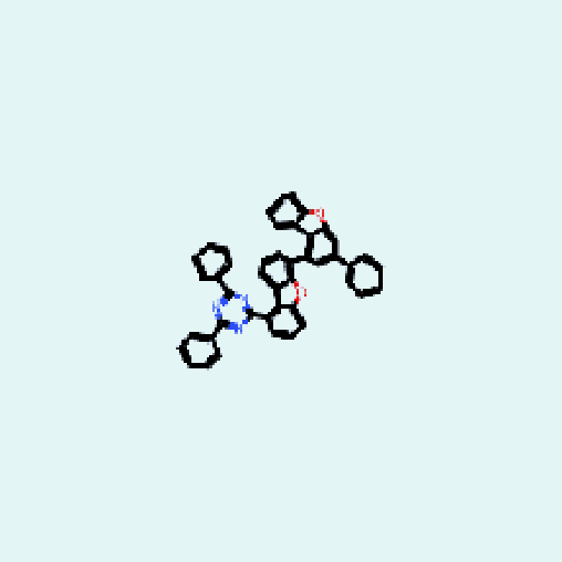 c1ccc(-c2cc(-c3cccc4c3oc3cccc(-c5nc(-c6ccccc6)nc(-c6ccccc6)n5)c34)c3c(c2)oc2ccccc23)cc1